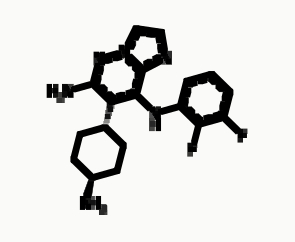 Nc1nn2ccnc2c(Nc2cccc(F)c2F)c1[C@H]1CC[C@H](N)CC1